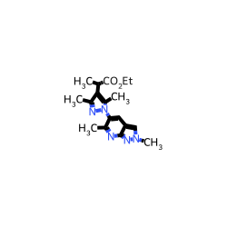 CCOC(=O)C(C)c1c(C)nn(-c2cc3cn(C)nc3nc2C)c1C